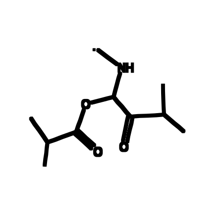 [CH2]NC(OC(=O)C(C)C)C(=O)C(C)C